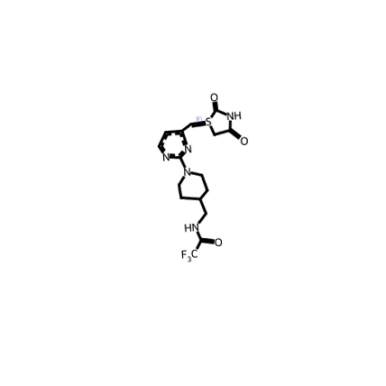 O=C1C/S(=C\c2ccnc(N3CCC(CNC(=O)C(F)(F)F)CC3)n2)C(=O)N1